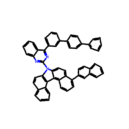 c1ccc(-c2ccc(-c3cccc(-c4nc(-n5c6ccc7ccccc7c6c6c7cccc(-c8ccc9ccccc9c8)c7ccc65)nc5ccccc45)c3)cc2)cc1